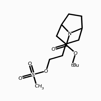 CC(C)(C)OC(=O)N1C2CCC1CC(CCOS(C)(=O)=O)C2